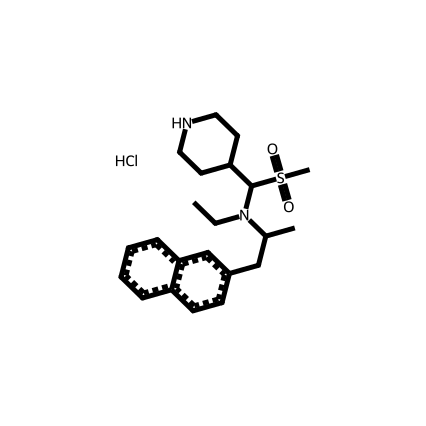 CCN(C(C)Cc1ccc2ccccc2c1)C(C1CCNCC1)S(C)(=O)=O.Cl